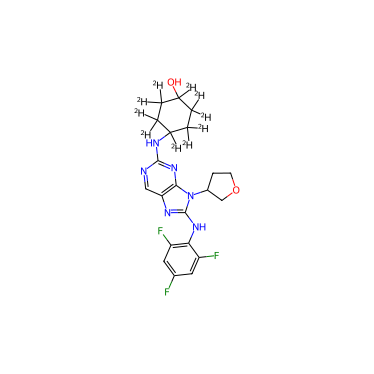 [2H]C1([2H])C([2H])([2H])C([2H])(Nc2ncc3nc(Nc4c(F)cc(F)cc4F)n(C4CCOC4)c3n2)C([2H])([2H])C([2H])([2H])C1([2H])O